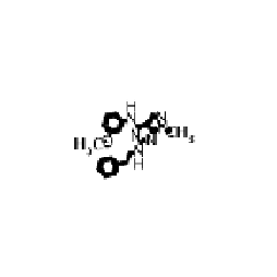 COc1cccc(Nc2nc(NCCc3ccccc3)nc3c2cnn3C)c1